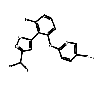 O=[N+]([O-])c1ccc(Oc2cccc(F)c2-c2cc(C(F)F)no2)nc1